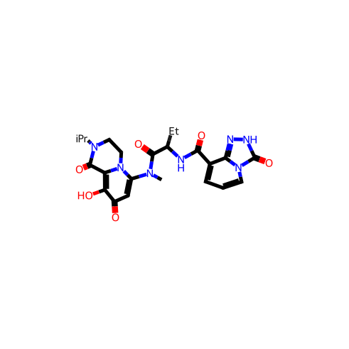 CCC(NC(=O)c1cccn2c(=O)[nH]nc12)C(=O)N(C)c1cc(=O)c(O)c2n1CCN(C(C)C)C2=O